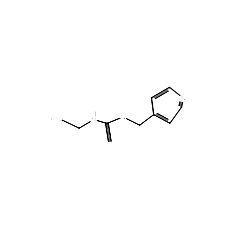 CC(C)(C)CNC(=S)NCc1ccncc1